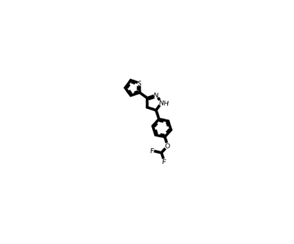 FC(F)Oc1ccc(C2CC(c3cccs3)=NN2)cc1